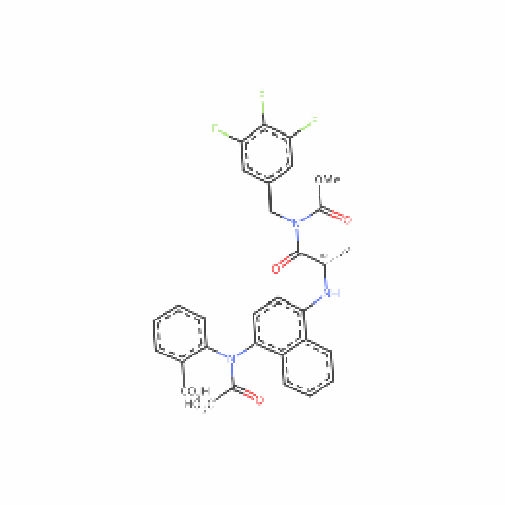 COC(=O)N(Cc1cc(F)c(F)c(F)c1)C(=O)[C@H](C)Nc1ccc(N(C(=O)C(=O)O)c2ccccc2C(=O)O)c2ccccc12